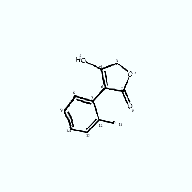 O=C1OCC(O)=C1c1ccccc1F